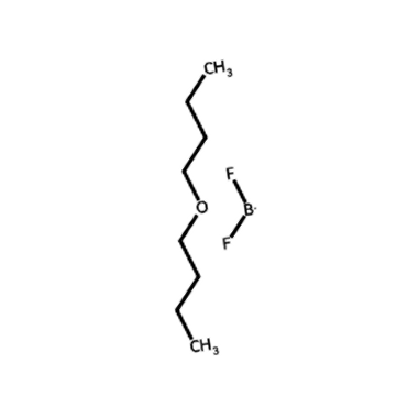 CCCCOCCCC.F[B]F